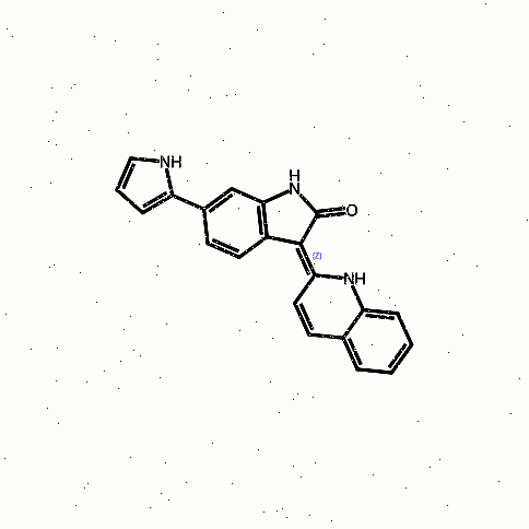 O=C1Nc2cc(-c3ccc[nH]3)ccc2/C1=C1\C=Cc2ccccc2N1